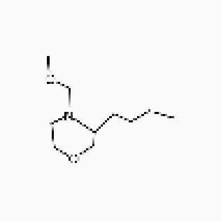 CCCCC1COCCN1COC